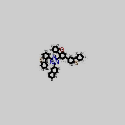 c1ccc2cc(-c3nc(-c4cc(-c5ccc6sc7ccccc7c6c5)cc5oc6ccccc6c45)nc(-c4cccc5sc6ccccc6c45)n3)ccc2c1